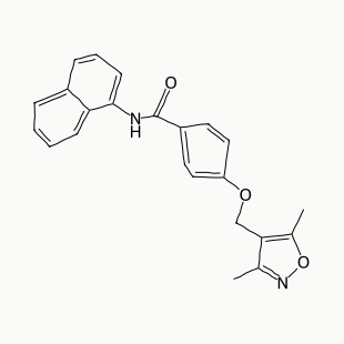 Cc1noc(C)c1COc1ccc(C(=O)Nc2cccc3ccccc23)cc1